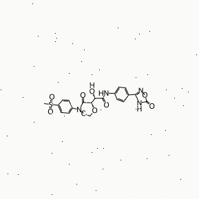 CS(=O)(=O)c1ccc(N2CCO[C@H]([C@@H](O)C(=O)Nc3ccc(-c4noc(=O)[nH]4)cc3)C2=O)cc1